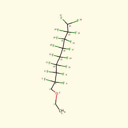 CCOCC(F)(F)C(F)(F)C(F)(F)C(F)(F)C(F)(F)C(F)(F)C(F)(F)C(F)F